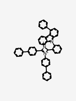 c1ccc(-c2ccc(C3=[N+](c4ccc(-c5ccccc5)cc4)C(c4ccccc4-n4c5ccccc5c5c(-c6ccccc6)cccc54)N3)cc2)cc1